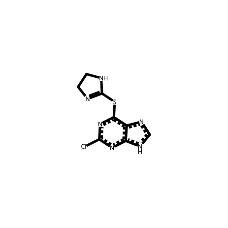 Clc1nc(SC2=NCCN2)c2nc[nH]c2n1